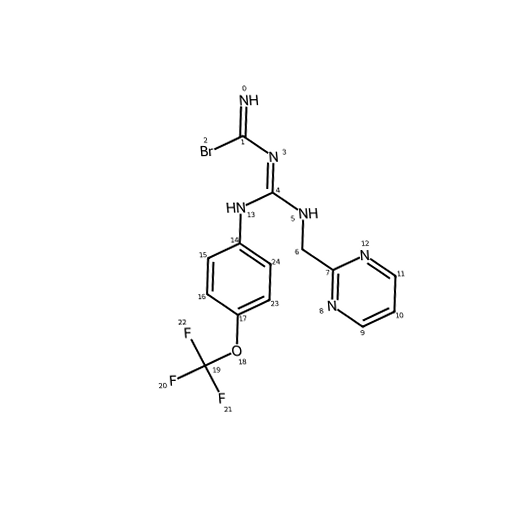 N=C(Br)/N=C(/NCc1ncccn1)Nc1ccc(OC(F)(F)F)cc1